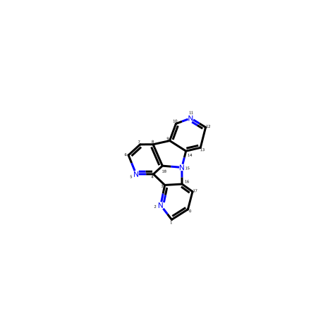 c1cnc2c3nccc4c5cnccc5n(c2c1)c43